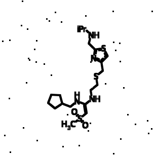 CC(C)NCc1nc(CSCCNC(=CS(C)(=O)=O)NCC2CCCC2)cs1